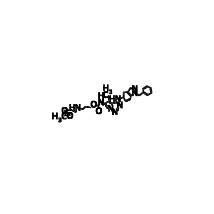 CCc1c(NC(=O)OCCCNCCS(C)(=O)=O)cn2ncnc(Nc3ccc4c(cnn4Cc4ccccc4)c3)c12